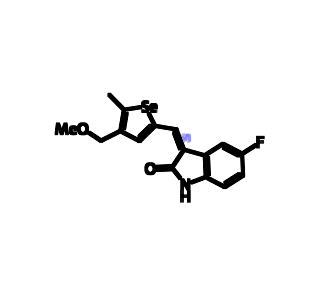 COCc1cc(/C=C2\C(=O)Nc3ccc(F)cc32)[se]c1C